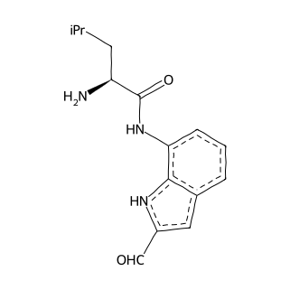 CC(C)C[C@H](N)C(=O)Nc1cccc2cc(C=O)[nH]c12